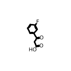 O=C(O)CC(=O)c1cccc(F)c1